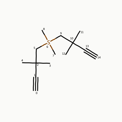 C#CC(C)(C)CS(C)(C)CC(C)(C)C#C